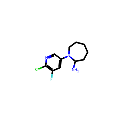 NC1CCCCCN1c1cnc(Cl)c(F)c1